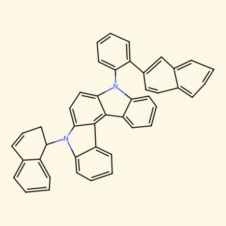 C1=Cc2ccccc2C(n2c3ccccc3c3c4c5ccccc5n(-c5ccccc5-c5ccc6ccccc6c5)c4ccc32)C1